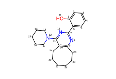 Oc1ccccc1-c1nc2c(c(N3CCCCC3)n1)CCCCCC2